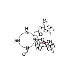 CC(C)(C)OC(=O)CN1CCN(C=O)CCNCCNCC1(CC(=O)OC(C)(C)C)CC(=O)OC(C)(C)C